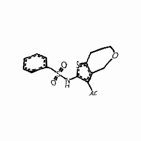 CC(=O)c1c(NS(=O)(=O)c2ccccc2)sc2c1COCC2